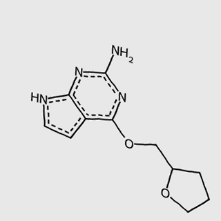 Nc1nc(OCC2CCCO2)c2cc[nH]c2n1